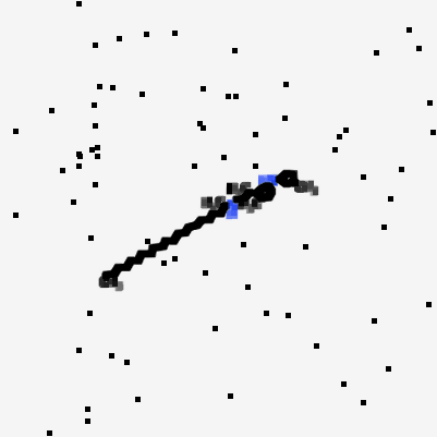 C=C(CCCCCCCCCCCCCCCCCCCCC)NCCC(=C)c1cc(NC2CCC(C)C2)ccc1C